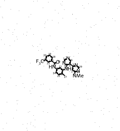 CNc1cc(-c2cncnc2Nc2cc(NC(=O)c3cccc(C(F)(F)F)c3)ccc2C)ncn1